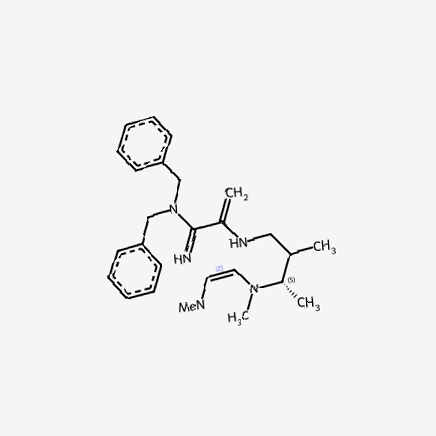 C=C(NCC(C)[C@H](C)N(C)/C=C\NC)C(=N)N(Cc1ccccc1)Cc1ccccc1